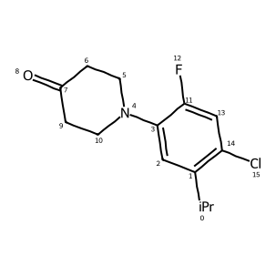 CC(C)c1cc(N2CCC(=O)CC2)c(F)cc1Cl